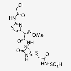 CON=C(C(=O)N[C@@H]1C(=O)N[C@H]1SCC(=O)NS(=O)(=O)O)c1csc(NC(=O)CCl)n1